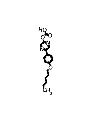 CCCCCCOc1ccc(-c2cnc(OC(=O)O)cn2)cc1